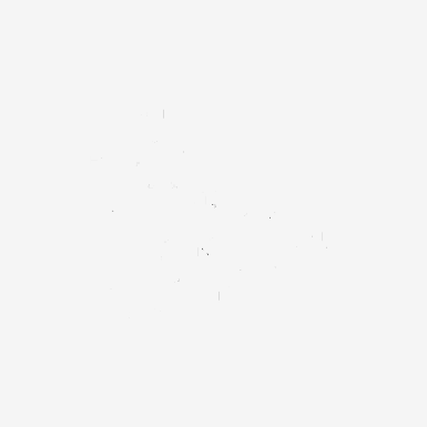 CC1=C(C)C(C)C(c2ccc3ccccc3c2CNc2c(C)cc(C)cc2C)=C1C